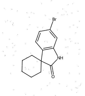 O=C1Nc2cc(Br)ccc2C12CCCCC2